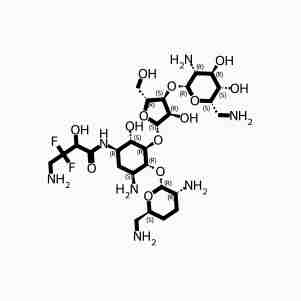 NC[C@@H]1CC[C@@H](N)[C@@H](O[C@H]2[C@H](O[C@@H]3O[C@H](CO)[C@@H](O[C@H]4O[C@@H](CN)[C@@H](O)[C@H](O)[C@H]4N)[C@H]3O)[C@@H](O)[C@H](NC(=O)C(O)C(F)(F)CN)C[C@@H]2N)O1